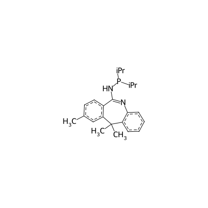 Cc1ccc2c(c1)C(C)(C)c1ccccc1N=C2NP(C(C)C)C(C)C